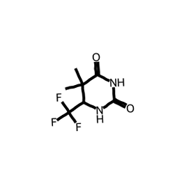 CC1(C)C(=O)NC(=O)NC1C(F)(F)F